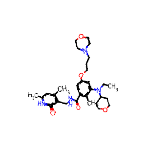 CCN(c1cc(OCCCN2CCOCC2)cc(C(=O)NCc2c(C)cc(C)[nH]c2=O)c1C)C1CCOCC1